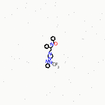 CN(CC(CCN1CCCN(c2nc3ccccc3n2CC(F)(F)F)CC1)c1ccccc1)C(=O)c1ccccc1